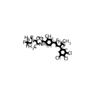 Cc1cc(/C(F)=C/C(c2cc(Cl)c(Cl)c(Cl)c2)C(C)(F)F)ccc1C(=O)N[C@H](C)C(=O)N(C)CC(F)(F)F